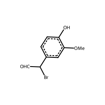 COc1cc(C(Br)C=O)ccc1O